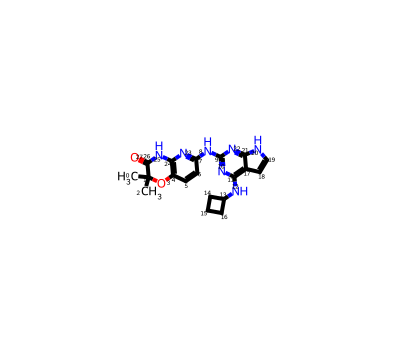 CC1(C)Oc2ccc(Nc3nc(NC4CCC4)c4cc[nH]c4n3)nc2NC1=O